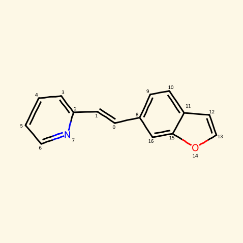 C(=Cc1ccccn1)c1ccc2ccoc2c1